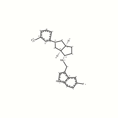 Fc1ccc2[nH]cc(CN[C@H]3CC[C@@H]4CN(c5cccc(C(F)(F)F)n5)C[C@@H]43)c2c1